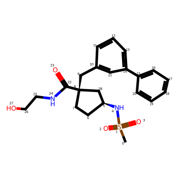 CS(=O)(=O)N[C@H]1CC[C@](Cc2cccc(-c3ccccc3)c2)(C(=O)NCCO)C1